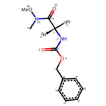 [2H][C@@](CCC)(NC(=O)OCc1ccccc1)C(=O)N(C)OC